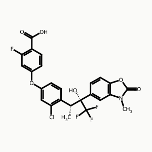 C[C@H](c1ccc(Oc2ccc(C(=O)O)c(F)c2)cc1Cl)[C@@](O)(c1ccc2oc(=O)n(C)c2c1)C(F)(F)F